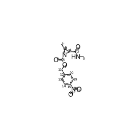 CNC(=O)[C@@H]1[C@H](C)N1C(=O)OCc1ccc([N+](=O)[O-])cc1